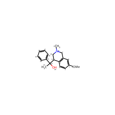 COc1ccc2c(c1)CN(C)CC2C(C)(O)c1ccccc1